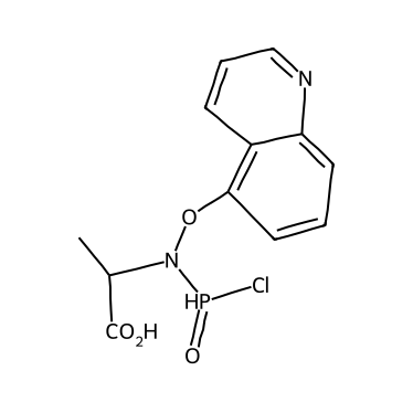 CC(C(=O)O)N(Oc1cccc2ncccc12)[PH](=O)Cl